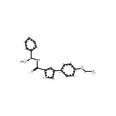 O=C(N[C@@H](C(=O)O)c1ccccc1)c1cc(-c2ccc(OCC(F)(F)F)cc2)cs1